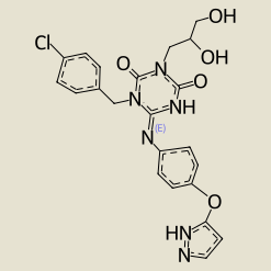 O=c1[nH]/c(=N\c2ccc(Oc3ccn[nH]3)cc2)n(Cc2ccc(Cl)cc2)c(=O)n1CC(O)CO